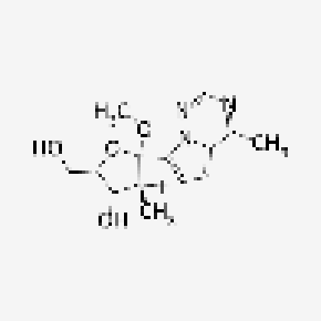 CO[C@@]1(c2ccc3c(C)ncnn23)O[C@H](CO)[C@@H](O)[C@@]1(C)F